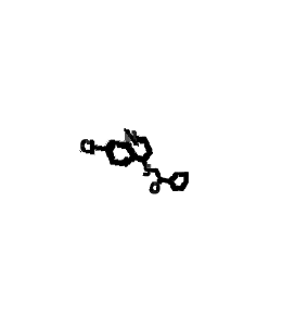 O=C(CSc1ccnc2cc(Cl)ccc12)c1ccccc1